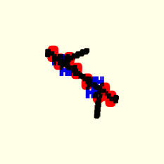 C=C(C)C(=O)OCCOC(=O)C(CCCCNC(=O)OCCCCOC(=O)NCCCCC(NC(=O)OCCCCCCCC)C(=O)OCCOC(=O)C(=C)C)NC(=O)OCCCCCCCC